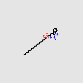 CCCCCCCCCCCCCCCCC(=O)OC(=O)C(N)Cc1c[nH]c2ccccc12